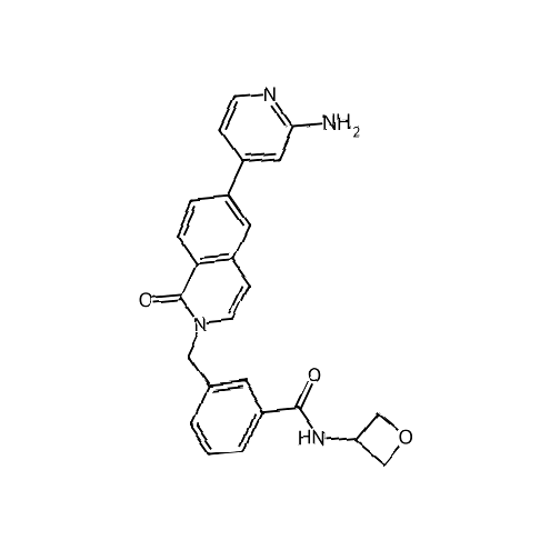 Nc1cc(-c2ccc3c(=O)n(Cc4cccc(C(=O)NC5COC5)c4)ccc3c2)ccn1